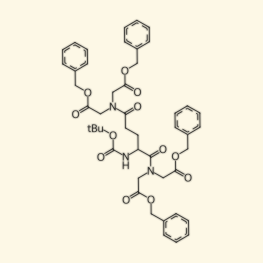 CC(C)(C)OC(=O)NC(CCC(=O)N(CC(=O)OCc1ccccc1)CC(=O)OCc1ccccc1)C(=O)N(CC(=O)OCc1ccccc1)CC(=O)OCc1ccccc1